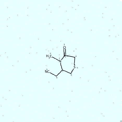 CN1C(=O)CSCC1CC#N